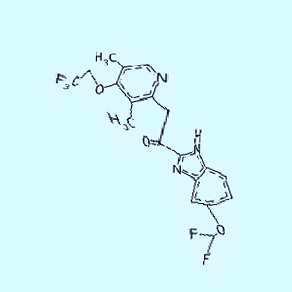 Cc1cnc(CC(=O)c2nc3cc(OC(F)F)ccc3[nH]2)c(C)c1OCC(F)(F)F